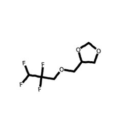 FC(F)C(F)(F)COCC1COCO1